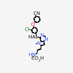 Cn1c(/C=C/CNC(=O)O)cc2ncnc([AsH]c3ccc(Oc4cccc(C#N)c4)c(Cl)c3)c21